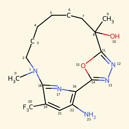 CN1CCCCCCC(C)(O)c2nnc(o2)-c2nc1c(C(F)(F)F)cc2N